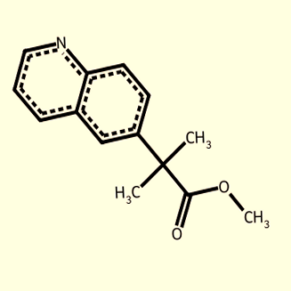 COC(=O)C(C)(C)c1ccc2ncccc2c1